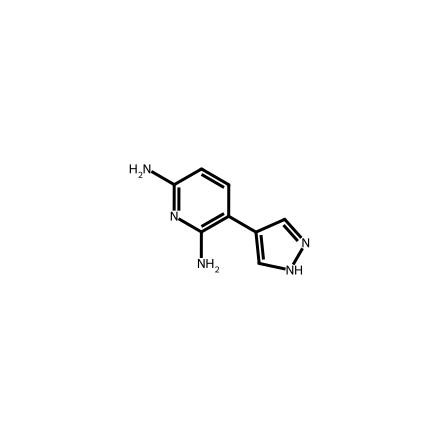 Nc1ccc(-c2cn[nH]c2)c(N)n1